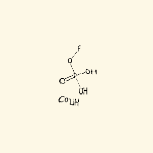 O=P(O)(O)OF.[Co].[LiH]